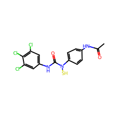 CC(=O)Nc1ccc(N(S)C(=O)Nc2cc(Cl)c(Cl)c(Cl)c2)cc1